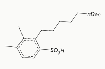 CCCCCCCCCCCCCCCc1c(S(=O)(=O)O)ccc(C)c1C